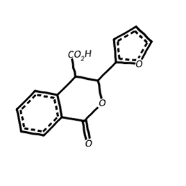 O=C1OC(c2ccco2)C(C(=O)O)c2ccccc21